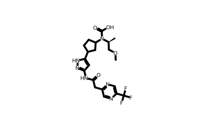 COC[C@H](C)N(C(=O)O)C1CCC(c2cc(NC(=O)Cc3cnc(C(F)(F)F)cn3)n[nH]2)C1